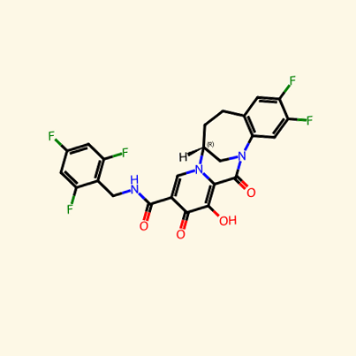 O=C(NCc1c(F)cc(F)cc1F)c1cn2c(c(O)c1=O)C(=O)N1C[C@H]2CCc2cc(F)c(F)cc21